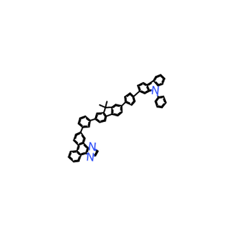 CC1(C)c2cc(-c3ccc(-c4ccc5c6ccccc6n(-c6ccccc6)c5c4)cc3)ccc2-c2ccc(-c3cccc(-c4ccc5c6ccccc6c6nccnc6c5c4)c3)cc21